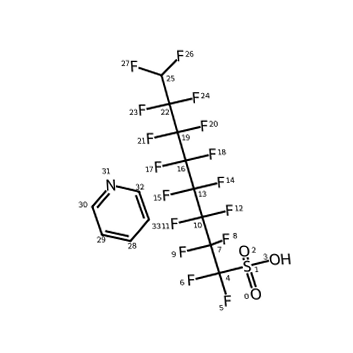 O=S(=O)(O)C(F)(F)C(F)(F)C(F)(F)C(F)(F)C(F)(F)C(F)(F)C(F)(F)C(F)F.c1ccncc1